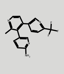 Cc1nccc(-c2ccc(C(F)(F)F)nc2)c1-c1ccc(N)nc1